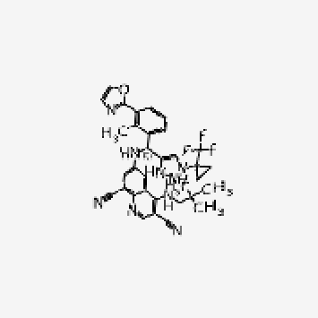 Cc1c(-c2ncco2)cccc1[C@H](Nc1cc(C#N)c2ncc(C#N)c(NCC(C)(C)C)c2c1)C1=CN(C2(C(F)(F)F)CC2)NN1